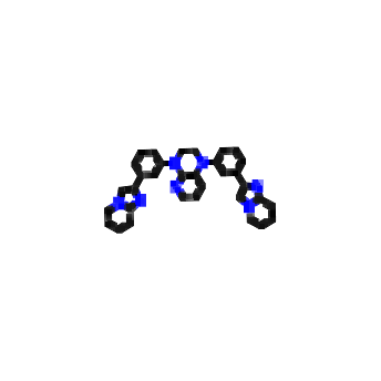 c1cc(-c2cn3ccccc3n2)cc(N2CCN(c3cccc(-c4cn5ccccc5n4)c3)c3ncccc32)c1